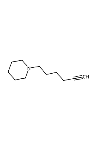 C#CCCCCN1CCCCC1